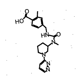 Cc1cc(CNC(=O)N(C)C2CCCN(c3cccnn3)C2)ccc1C(=O)O